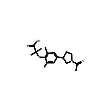 CC(=O)N1CCC(c2cc(C)c(OC(C)(C)C(=O)O)c(C)c2)C1